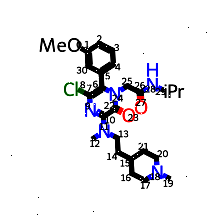 COc1cccc(-c2c(Cl)nc(N(C)CCC3CCN(C)CC3)c(=O)n2CC(=O)NC(C)C)c1